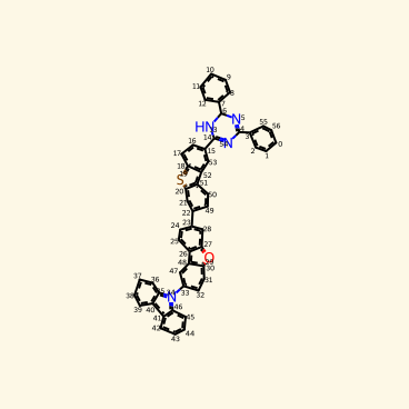 c1ccc(C2=NC(c3ccccc3)NC(c3ccc4sc5cc(-c6ccc7c(c6)oc6ccc(-n8c9ccccc9c9ccccc98)cc67)ccc5c4c3)=N2)cc1